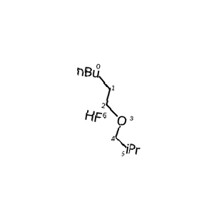 CCCCCCOCC(C)C.F